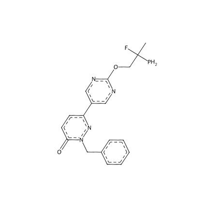 CC(F)(P)COc1ncc(-c2ccc(=O)n(Cc3ccccc3)n2)cn1